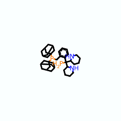 PC(c1ccccc1CP(C12CC3CC(CC(C3)C1)C2)C12CC3CC(CC(C3)C1)C2)(C1CCCCN1)C1CCCCN1